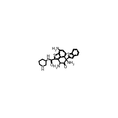 Nc1ccc2c3c(c(C(=O)NC4CCCNC4)sc13)C(N)C(=O)C2(N)c1cc2ccccc2s1